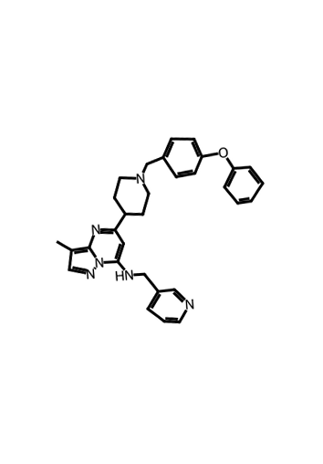 Cc1cnn2c(NCc3cccnc3)cc(C3CCN(Cc4ccc(Oc5ccccc5)cc4)CC3)nc12